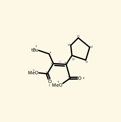 COC(=O)/C(CC(C)(C)C)=C(\C(=O)OC)C1CCCC1